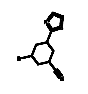 N#CC1CC(Br)CC(c2nccs2)C1